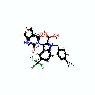 Cc1ccc(Cn2c(C(=O)O)c(-n3c(=O)[nH]c4cscc4c3=O)c3cc(C(F)(F)F)ccc32)cc1